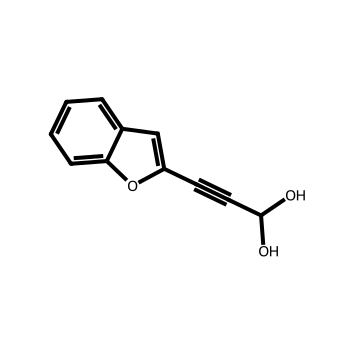 OC(O)C#Cc1cc2ccccc2o1